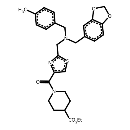 CCOC(=O)C1CCN(C(=O)c2csc(CN(Cc3ccc(C)cc3)Cc3ccc4c(c3)OCO4)n2)CC1